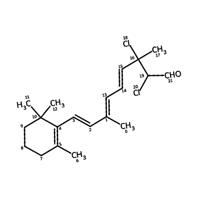 CC(C=CC1=C(C)CCCC1(C)C)=CC=CC(C)(Cl)C(Cl)C=O